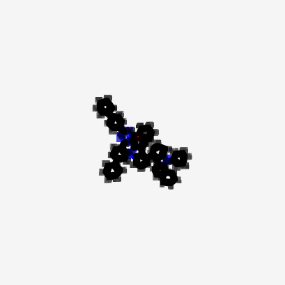 C1=Cc2ccc3c4c(-c5cccc6c5c5ccccc5n6-c5cc(-c6ccccc6)ccc5-c5nc(-c6ccccc6)nc(-c6ccc(-c7ccccc7)cc6)n5)cccc4n(-c4ccccc4)c3c2CC1